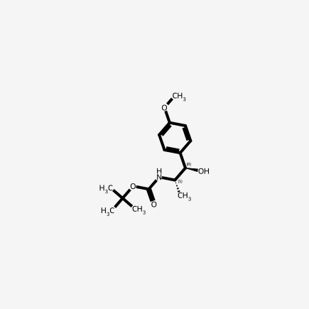 COc1ccc([C@@H](O)[C@H](C)NC(=O)OC(C)(C)C)cc1